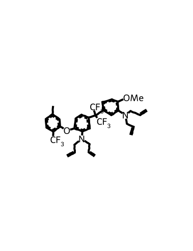 C=CCN(CC=C)c1cc(C(c2ccc(Oc3cc(C)ccc3C(F)(F)F)c(N(CC=C)CC=C)c2)(C(F)(F)F)C(F)(F)F)ccc1OC